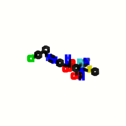 COC(=O)c1cc(S(=O)(=O)NC(=O)c2ccc(N3CCN(CC4=C(c5ccc(Cl)cc5)CCCC4)CC3)cc2)cc(C(F)(F)F)c1N[C@H](CCN(C)C)CSc1ccccc1